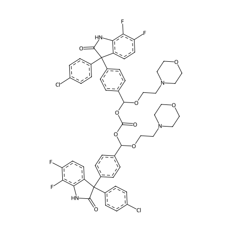 O=C(OC(OCCN1CCOCC1)c1ccc(C2(c3ccc(Cl)cc3)C(=O)Nc3c2ccc(F)c3F)cc1)OC(OCCN1CCOCC1)c1ccc(C2(c3ccc(Cl)cc3)C(=O)Nc3c2ccc(F)c3F)cc1